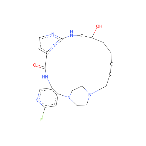 O=C1Nc2cnc(F)cc2N2CCN(CCCCCC(O)CNc3nccc1n3)CC2